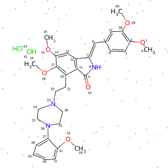 COc1ccc(C=C2NC(=O)c3c2cc(OC)c(OC)c3CCN2CCN(c3ccccc3OC)CC2)cc1OC.Cl.Cl